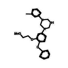 COCCOc1cc(N2CNCN(c3cccc(C)c3)C2)ccc1Oc1ccccc1